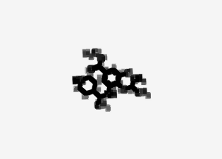 COC(=O)c1cc(Cl)c(OC(C)C)c(N[C@@H](C)C2CCNCC2)c1